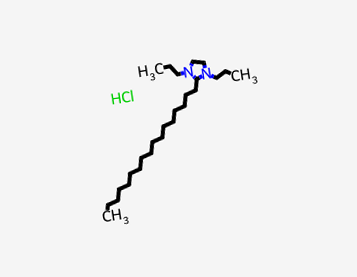 CCCCCCCCCCCCCCCCCC1N(CCC)CCN1CCC.Cl